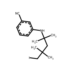 CC(C)(CI)CC(C)(C)Nc1cccc(C#N)c1